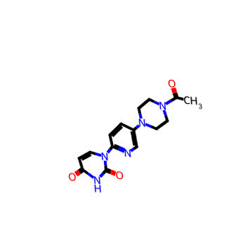 CC(=O)N1CCN(c2ccc(-n3ccc(=O)[nH]c3=O)nc2)CC1